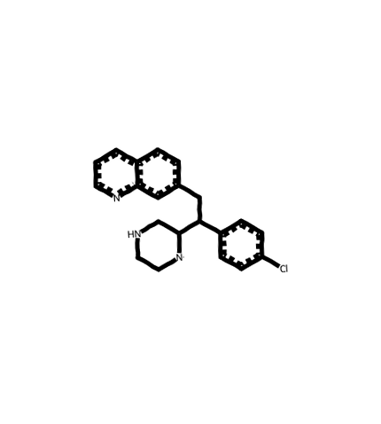 Clc1ccc(C(Cc2ccc3cccnc3c2)C2CNCC[N]2)cc1